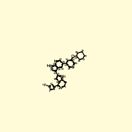 Fc1ccc(-c2nccc3[nH]c(-c4n[nH]c5ncc(-c6cncc(OC7CCCCC7)c6)cc45)cc23)s1